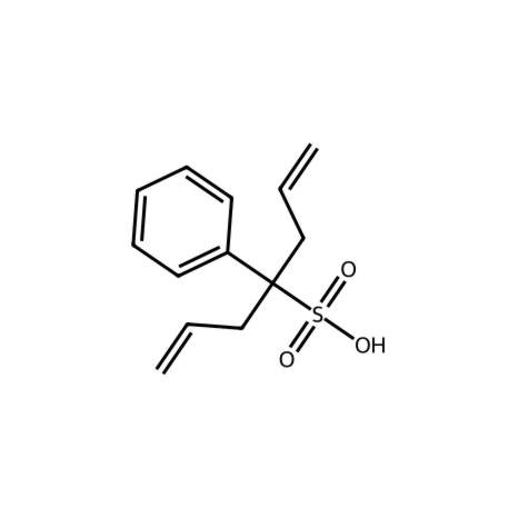 C=CCC(CC=C)(c1ccccc1)S(=O)(=O)O